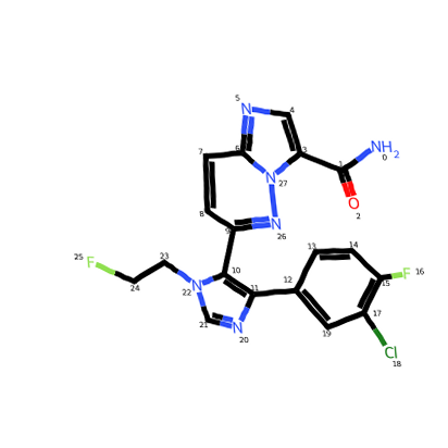 NC(=O)c1cnc2ccc(-c3c(-c4ccc(F)c(Cl)c4)ncn3CCF)nn12